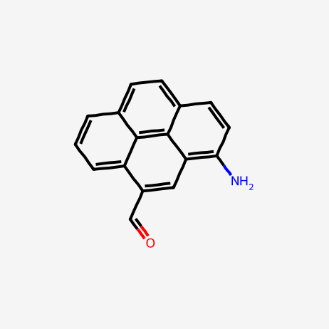 Nc1ccc2ccc3cccc4c(C=O)cc1c2c34